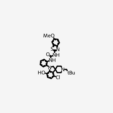 COc1ccc2nc(NC(=O)Nc3ccccc3N3CC4(CCN(CC(C)(C)C)CC4)c4c(Cl)ccc(O)c43)sc2c1